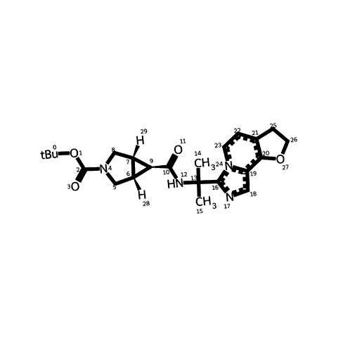 CC(C)(C)OC(=O)N1C[C@@H]2[C@H](C1)[C@H]2C(=O)NC(C)(C)c1ncc2c3c(ccn12)CCO3